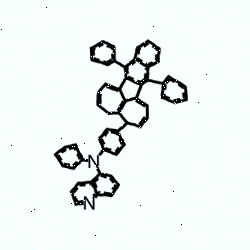 C1=CCC2=C3C(=C1)c1c(c(-c4ccccc4)c4ccccc4c1-c1ccccc1)C3=CC=CC2c1ccc(N(c2ccccc2)c2cccc3ncccc23)cc1